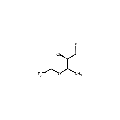 CC(OCC(F)(F)F)[C@@H](Cl)CF